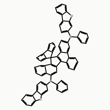 c1ccc(N(c2ccc3c(c2)oc2ccccc23)c2ccc3c4c(c5ccccc5c3c2)-c2cc(N(c3ccccc3)c3ccc5c(c3)oc3ccccc35)c3ccccc3c2C42c3ccccc3-c3ccccc32)cc1